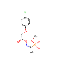 CCCC(=NOC(=O)COc1ccc(Cl)cc1)P(=O)(O)OC(C)CC